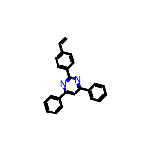 C=Cc1ccc(-c2nc(-c3ccccc3)cc(-c3ccccc3)n2)cc1